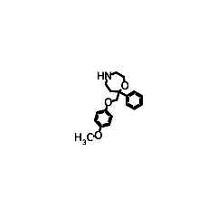 COc1ccc(OCC2(c3ccccc3)CCNCCO2)cc1